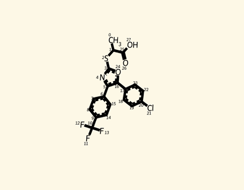 CC(Sc1nc(-c2ccc(C(F)(F)F)cc2)c(-c2ccc(Cl)cc2)o1)C(=O)O